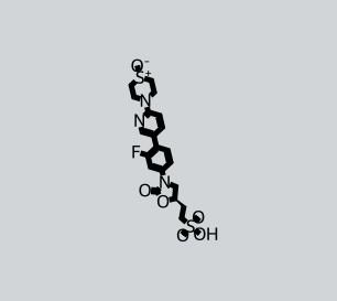 O=C1O[C@H](CCS(=O)(=O)O)CN1c1ccc(-c2ccc(N3CC[S+]([O-])CC3)nc2)c(F)c1